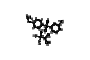 NCc1ccc(S(=O)(=O)c2cccc(Cl)c2)cc1.O=C(O)C(F)(F)F